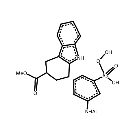 CC(=O)Nc1cccc([As](=O)(O)OO)c1.COC(=O)C1CCc2[nH]c3ccccc3c2C1